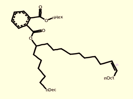 CCCCCCCC/C=C\CCCCCCCCC(CCCCCCCCCCCCCCC)OC(=O)c1ccccc1C(=O)OCCCCCC